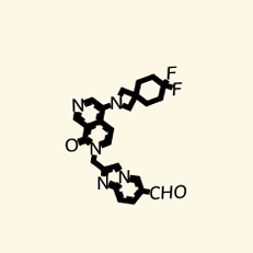 O=Cc1ccc2nc(Cn3ccc4c(N5CC6(CCC(F)(F)CC6)C5)cncc4c3=O)cn2c1